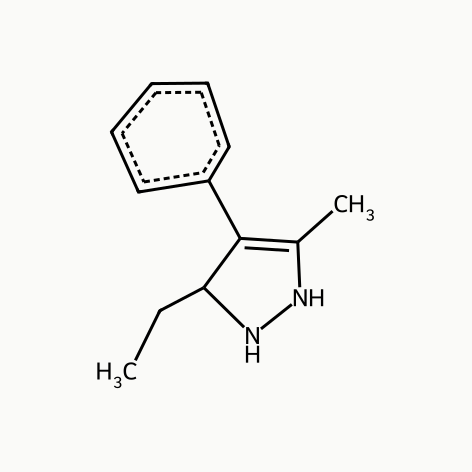 CCC1NNC(C)=C1c1ccccc1